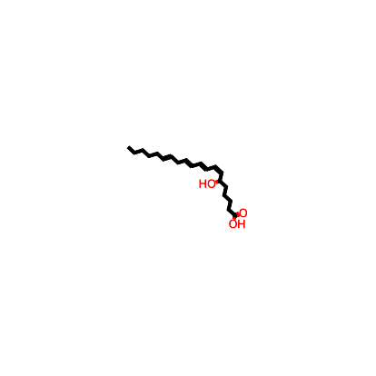 CCCCCC=CCC=CC=C/C=C\C(O)CCCCC(=O)O